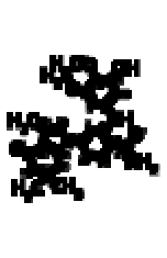 COc1cc(Nc2cc(-n3cc(C)c4c3CC(C)(C)CC4=O)ccc2C(N)=O)cc(O)c1OC